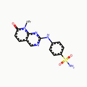 CCCn1c(=O)ccc2cnc(Nc3ccc(S(N)(=O)=O)cc3)nc21